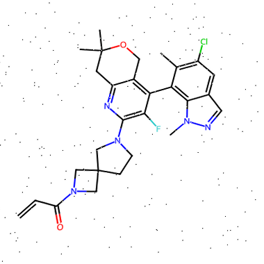 C=CC(=O)N1CC2(CCN(c3nc4c(c(-c5c(C)c(Cl)cc6cnn(C)c56)c3F)COC(C)(C)C4)C2)C1